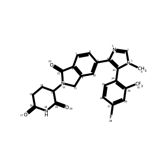 Cn1cnc(-c2ccc3c(c2)CN(C2CCC(=O)NC2=O)C3=O)c1-c1ccc(F)cc1C(F)(F)F